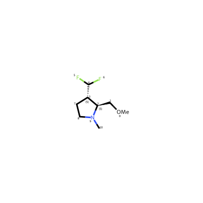 COC[C@@H]1[C@@H](C(F)F)CCN1C